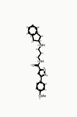 COc1ccc(-c2cc(C(=O)NCCCNC3Cc4ccccc4C3)on2)cc1